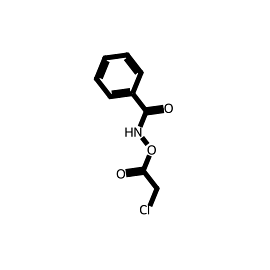 O=C(CCl)ONC(=O)c1ccccc1